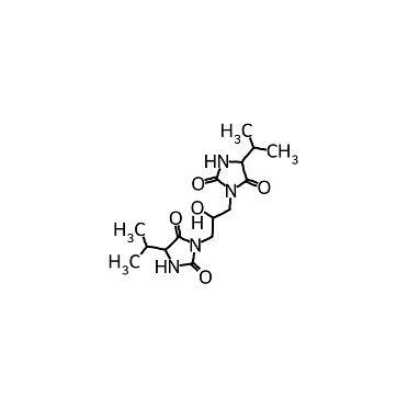 CC(C)C1NC(=O)N(CC(O)CN2C(=O)NC(C(C)C)C2=O)C1=O